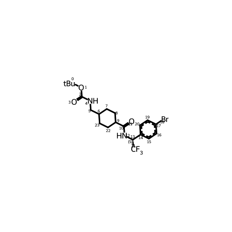 CC(C)(C)OC(=O)NCC1CCC(C(=O)N[C@@H](c2ccc(Br)cc2)C(F)(F)F)CC1